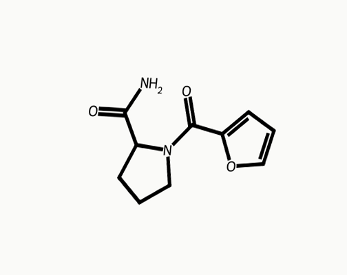 NC(=O)C1CCCN1C(=O)c1ccco1